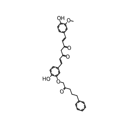 COc1cc(C=CC(=O)CC(=O)C=Cc2ccc(O)c(OCC(=O)CCCc3ccccc3)c2)ccc1O